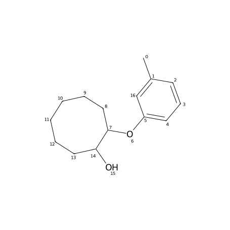 Cc1cccc(OC2CCCCCCC2O)c1